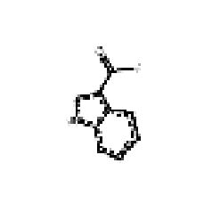 O=C(F)c1c[nH]c2ccccc12